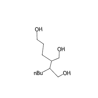 CCCCC(CO)C(CO)CCCO